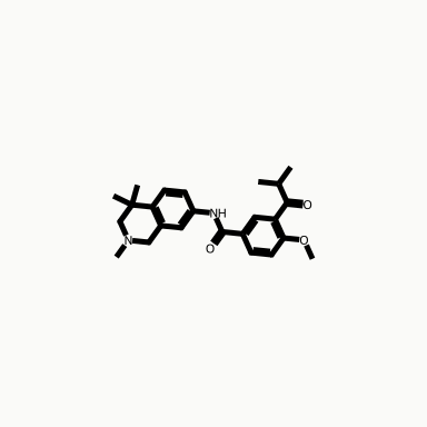 COc1ccc(C(=O)Nc2ccc3c(c2)CN(C)CC3(C)C)cc1C(=O)C(C)C